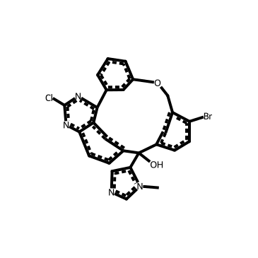 Cn1cncc1C1(O)c2ccc(Br)c(c2)COc2cccc(c2)-c2nc(Cl)nc3ccc1cc23